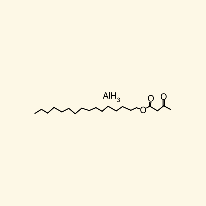 CCCCCCCCCCCCCCCCOC(=O)CC(C)=O.[AlH3]